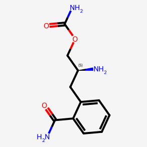 NC(=O)OC[C@@H](N)Cc1ccccc1C(N)=O